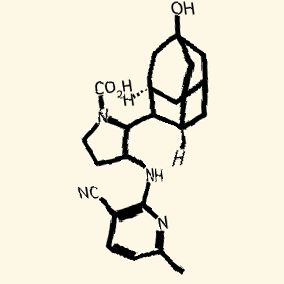 Cc1ccc(C#N)c(NC2CCN(C(=O)O)C2C2[C@@H]3CC4C[C@H]2CC(O)(C4)C3)n1